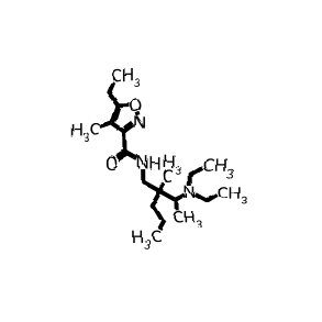 CCCC(C)(CNC(=O)c1noc(CC)c1C)C(C)N(CC)CC